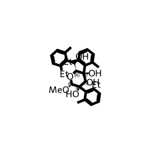 CCc1cccc(C)c1C(O)[C@H]1O[C@@H](OC)[C@@](O)(c2c(C)cccc2CC)[C@@H](O)[C@@]1(O)c1c(C)cccc1CC